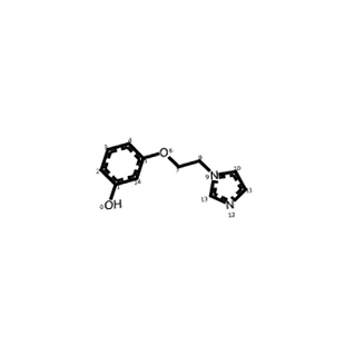 Oc1cccc(OCCn2ccnc2)c1